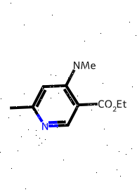 CCOC(=O)c1cnc(C)cc1NC